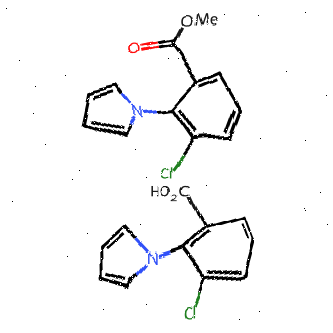 COC(=O)c1cccc(Cl)c1-n1cccc1.O=C(O)c1cccc(Cl)c1-n1cccc1